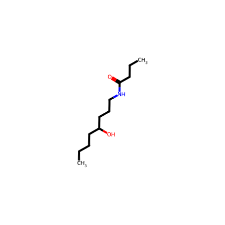 CCCCC(O)CCCNC(=O)CCC